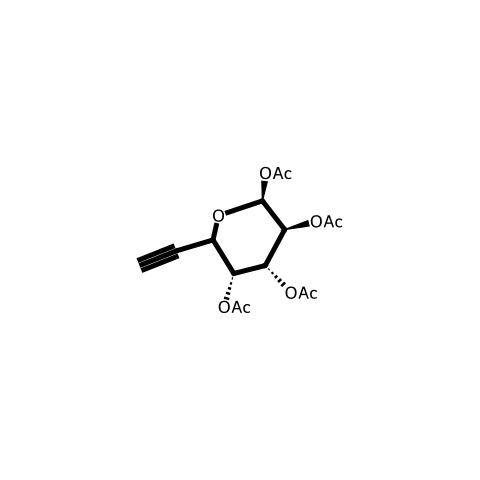 C#CC1O[C@@H](OC(C)=O)[C@@H](OC(C)=O)[C@H](OC(C)=O)[C@@H]1OC(C)=O